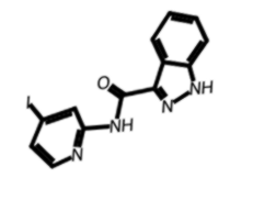 O=C(Nc1cc(I)ccn1)c1n[nH]c2ccccc12